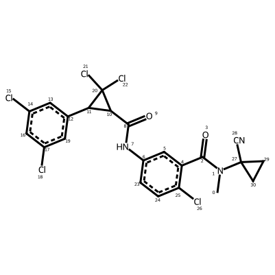 CN(C(=O)c1cc(NC(=O)C2C(c3cc(Cl)cc(Cl)c3)C2(Cl)Cl)ccc1Cl)C1(C#N)CC1